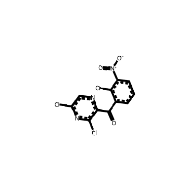 O=C(c1cccc([N+](=O)[O-])c1Cl)c1ncc(Cl)nc1Cl